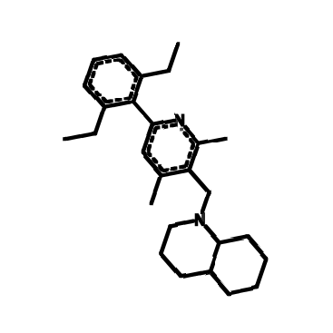 CCc1cccc(CC)c1-c1cc(C)c(CN2CCCC3CCCCC32)c(C)n1